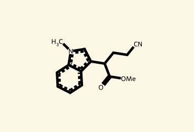 COC(=O)C(CCC#N)c1cn(C)c2ccccc12